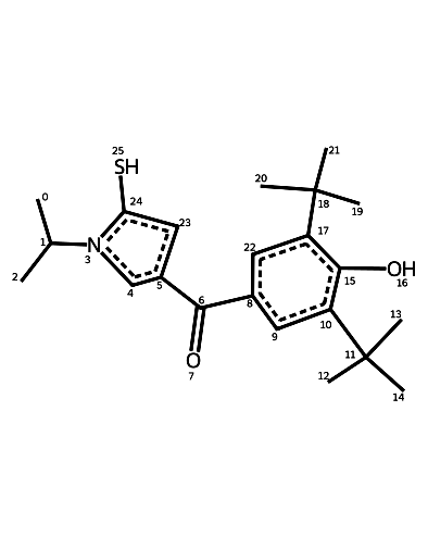 CC(C)n1cc(C(=O)c2cc(C(C)(C)C)c(O)c(C(C)(C)C)c2)cc1S